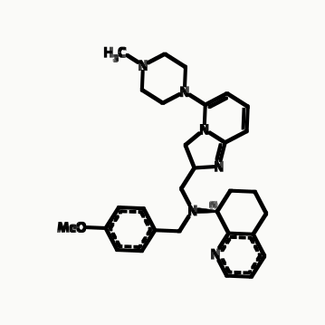 COc1ccc(CN(CC2CN3C(N4CCN(C)CC4)=CC=CC3=N2)[C@H]2CCCc3cccnc32)cc1